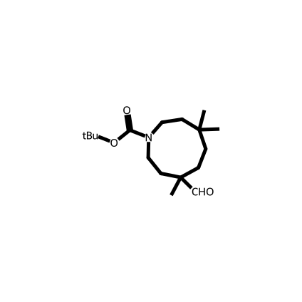 CC1(C)CCN(C(=O)OC(C)(C)C)CCC(C)(C=O)CC1